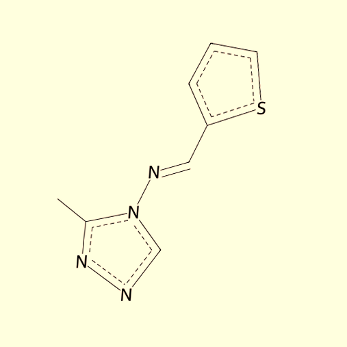 Cc1nncn1N=Cc1cccs1